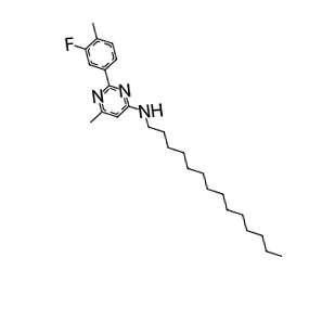 CCCCCCCCCCCCCCNc1cc(C)nc(-c2ccc(C)c(F)c2)n1